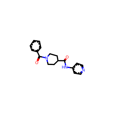 O=C(Nc1ccncc1)C1CCN(C(=O)c2ccccc2)CC1